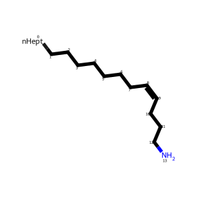 CCCCCCCCCCCCCC/C=C\CCCN